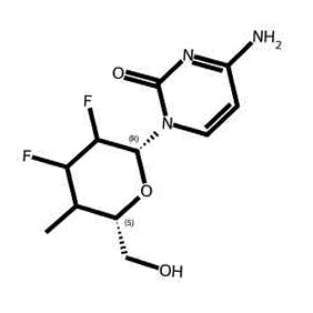 CC1C(F)C(F)[C@H](n2ccc(N)nc2=O)O[C@@H]1CO